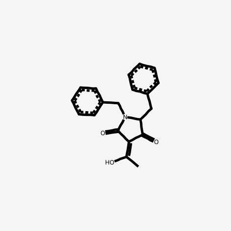 C/C(O)=C1\C(=O)C(Cc2ccccc2)N(Cc2ccccc2)C1=O